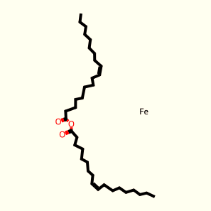 CCCCCCCC/C=C\CCCCCCCC(=O)OC(=O)CCCCCCC/C=C\CCCCCCCC.[Fe]